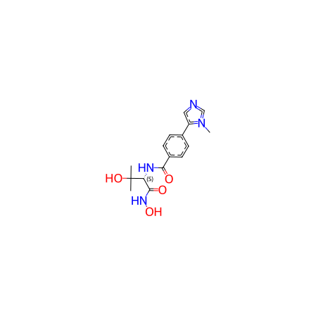 Cn1cncc1-c1ccc(C(=O)N[C@H](C(=O)NO)C(C)(C)O)cc1